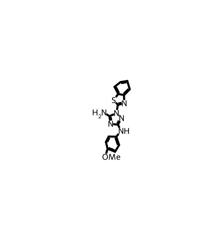 COc1ccc(Nc2nc(N)n(-c3nc4ccccc4s3)n2)cc1